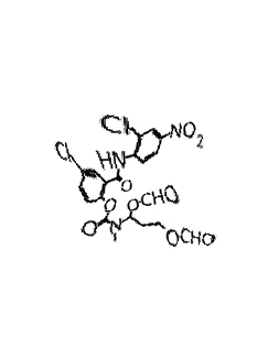 CN(C(=O)Oc1ccc(Cl)cc1C(=O)Nc1ccc([N+](=O)[O-])cc1Cl)C(CCOC=O)OC=O